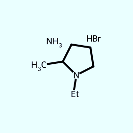 Br.CCN1CCCC1C.N